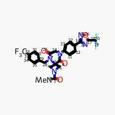 CNC(=O)N1CC2(C1)C(=O)N(c1ccc(-c3noc(C(F)F)n3)cc1)CC(=O)N2Cc1ccc(C(F)(F)F)cc1